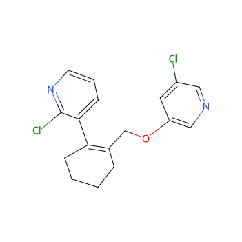 Clc1cncc(OCC2=C(c3cccnc3Cl)CCCC2)c1